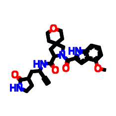 C#CC(CC1CCNC1=O)NC(=O)C1CC2(CCOCC2)CN1C(=O)c1cc2c(OC)cccc2[nH]1